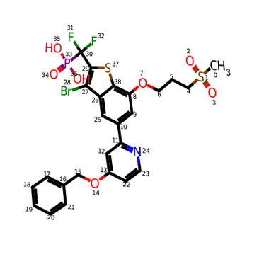 CS(=O)(=O)CCCOc1cc(-c2cc(OCc3ccccc3)ccn2)cc2c(Br)c(C(F)(F)P(=O)(O)O)sc12